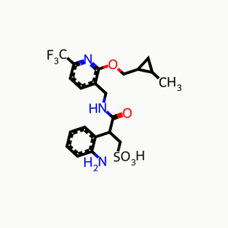 CC1CC1COc1nc(C(F)(F)F)ccc1CNC(=O)C(CS(=O)(=O)O)c1ccccc1N